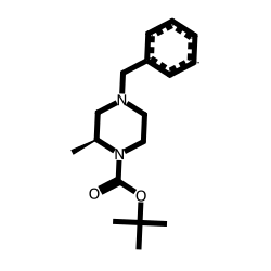 C[C@H]1CN(Cc2c[c]ccc2)CCN1C(=O)OC(C)(C)C